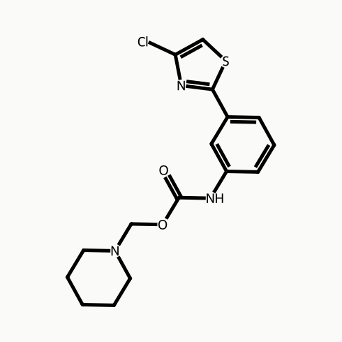 O=C(Nc1cccc(-c2nc(Cl)cs2)c1)OCN1CCCCC1